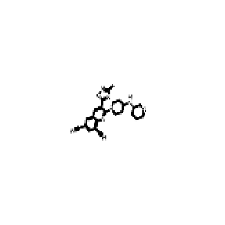 Cc1noc(-c2cc3cc(C#N)cc(C#N)c3nc2N2CCC(N[C@@H]3CCCOC3)CC2)n1